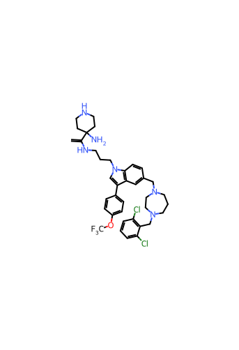 C=C(NCCCn1cc(-c2ccc(OC(F)(F)F)cc2)c2cc(CN3CCCN(Cc4c(Cl)cccc4Cl)CC3)ccc21)C1(N)CCNCC1